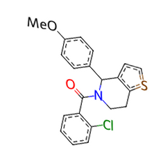 COc1ccc(C2c3ccsc3CCN2C(=O)c2ccccc2Cl)cc1